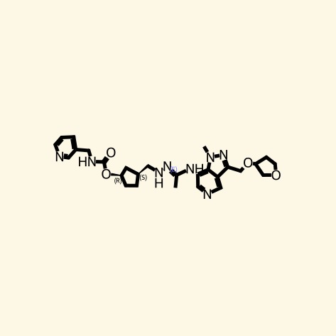 C/C(=N\NC[C@H]1CC[C@@H](OC(=O)NCc2cccnc2)C1)Nc1cncc2c(COC3CCOC3)nn(C)c12